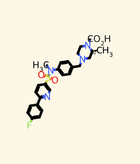 C[C@H]1CN(Cc2ccc(N(C)S(=O)(=O)c3ccc(-c4ccc(F)cc4)nc3)cc2)CCN1C(=O)O